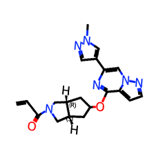 C=CC(=O)N1C[C@H]2CC(Oc3nc(-c4cnn(C)c4)cn4nccc34)C[C@H]2C1